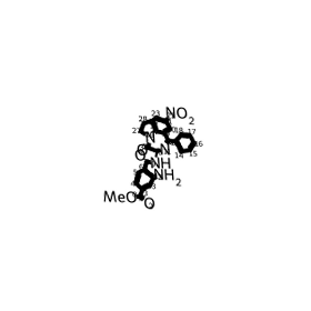 COC(=O)c1ccc(C(=O)N[C@@H]2N=C(c3ccccc3)c3cc([N+](=O)[O-])cc4c3N(CC4)C2=O)c(N)c1